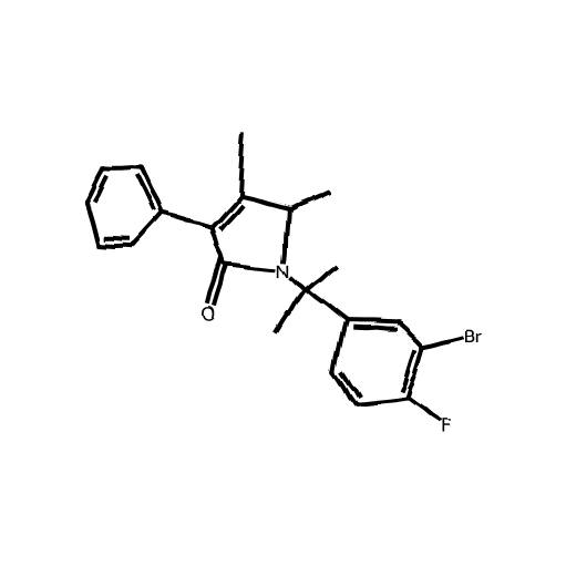 CC1=C(c2ccccc2)C(=O)N(C(C)(C)c2ccc(F)c(Br)c2)C1C